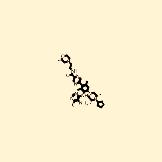 Cc1cc(N2C[C@@H](C)N(C3CCCC3)[C@@H](C)C2)c(Nc2ncnc(Cl)c2N)c(C)c1-c1cnc(C(=O)NCCN2CCO[C@@H](C)C2)cn1